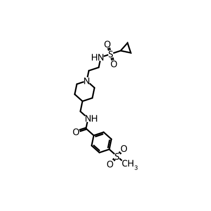 CS(=O)(=O)c1ccc(C(=O)NCC2CCN(CCNS(=O)(=O)C3CC3)CC2)cc1